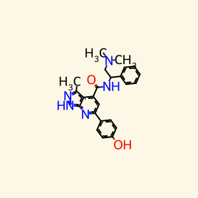 Cc1n[nH]c2nc(-c3ccc(O)cc3)cc(C(=O)NC(CN(C)C)c3ccccc3)c12